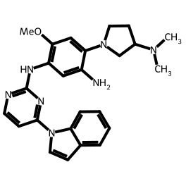 COc1cc(N2CCC(N(C)C)C2)c(N)cc1Nc1nccc(-n2ccc3ccccc32)n1